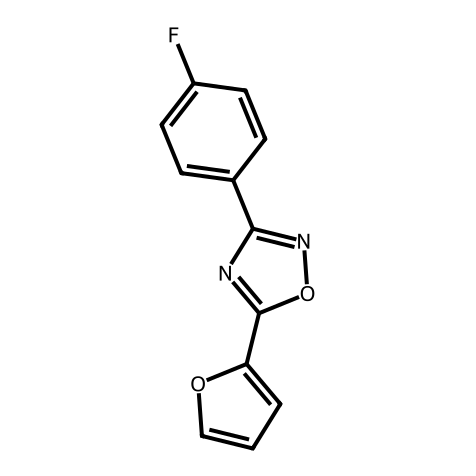 Fc1ccc(-c2noc(-c3ccco3)n2)cc1